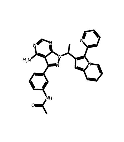 CC(=O)Nc1cccc(-c2nn(C(C)c3cc4ccccn4c3-c3ccccn3)c3ncnc(N)c23)c1